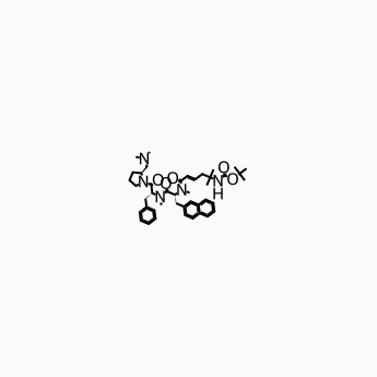 CN(C)C[C@@H]1CCCN1C(=O)[C@@H](Cc1ccccc1)N(C)C(=O)[C@@H](Cc1ccc2ccccc2c1)N(C)C(=O)/C=C/CC(C)(C)NC(=O)OC(C)(C)C